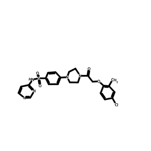 Cc1cc(Cl)ccc1OCC(=O)N1CCN(c2ccc(S(=O)(=O)Nc3ccncn3)cc2)CC1